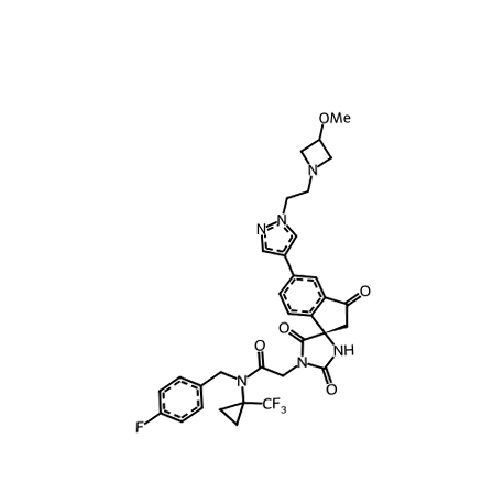 COC1CN(CCn2cc(-c3ccc4c(c3)C(=O)C[C@]43NC(=O)N(CC(=O)N(Cc4ccc(F)cc4)C4(C(F)(F)F)CC4)C3=O)cn2)C1